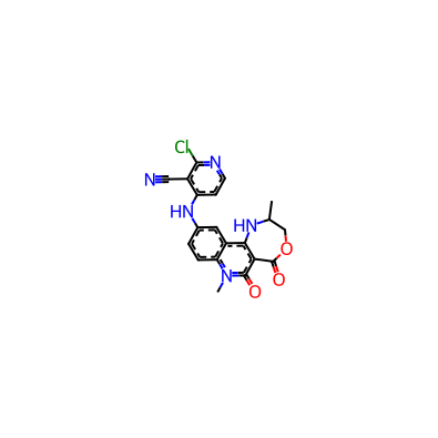 CC1COC(=O)c2c(c3cc(Nc4ccnc(Cl)c4C#N)ccc3n(C)c2=O)N1